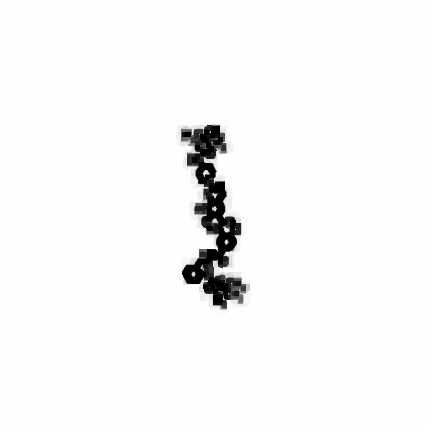 CC(C)(C)OC(=O)Nc1ccccc1CCNC(=O)c1ccc(Cl)c(NC(=O)c2cc3cnc(N4CCC(NC(=O)OC(C)(C)C)CC4)nc3[nH]c2=O)c1